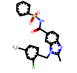 Cc1nc2ccc(C(=O)NS(=O)(=O)c3ccccc3)cc2n1Cc1ccc(C(F)(F)F)cc1Cl